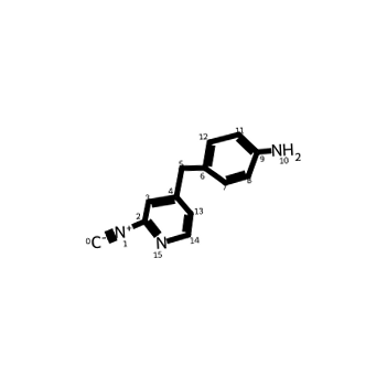 [C-]#[N+]c1cc(Cc2ccc(N)cc2)ccn1